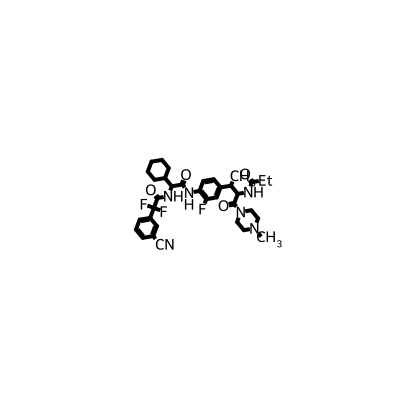 CCC(=O)NC(C(=O)N1CCN(C)CC1)C(C)c1ccc(NC(=O)C(NC(=O)C(F)(F)c2cccc(C#N)c2)C2CCCCC2)c(F)c1